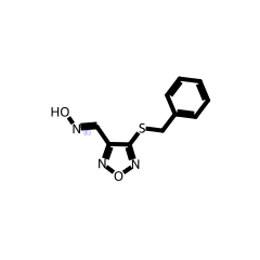 O/N=C/c1nonc1SCc1ccccc1